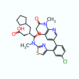 CN(C(=O)[C@@H](CC(=O)O)CC1CCCC1)c1nc(-c2cc(Cl)ccc2-c2cnc3c(c2)CCC(=O)N3C)cs1